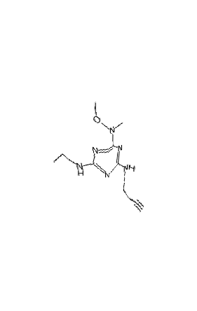 C#CCNc1nc(NCC)nc(N(C)OC)n1